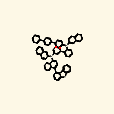 c1ccc(-c2ccc(-c3ccc(N(c4ccc5ccccc5c4)c4ccccc4-c4cccc(N(c5ccc6ccccc6c5)c5ccc(-c6cccc7oc8ccccc8c67)c6ccccc56)c4)cc3)cc2)cc1